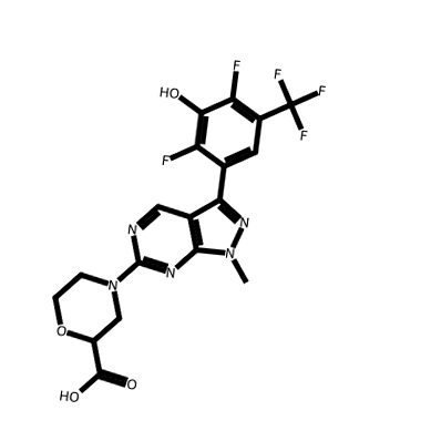 Cn1nc(-c2cc(C(F)(F)F)c(F)c(O)c2F)c2cnc(N3CCOC(C(=O)O)C3)nc21